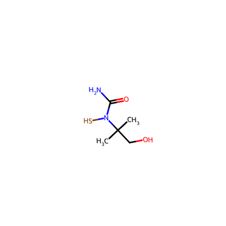 CC(C)(CO)N(S)C(N)=O